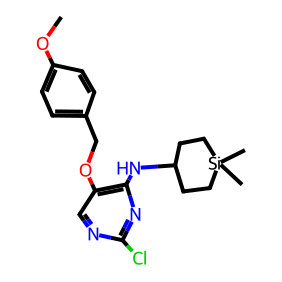 COc1ccc(COc2cnc(Cl)nc2NC2CC[Si](C)(C)CC2)cc1